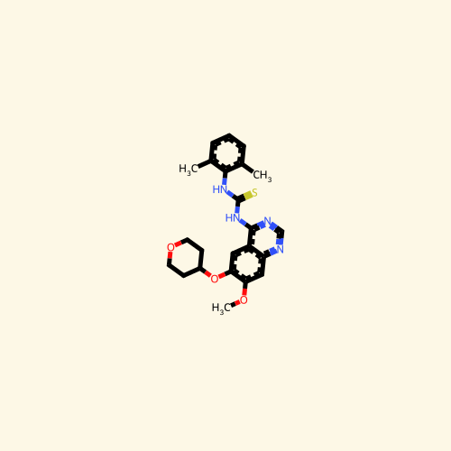 COc1cc2ncnc(NC(=S)Nc3c(C)cccc3C)c2cc1OC1CCOCC1